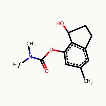 Cc1cc2c(c(OC(=O)N(C)C)c1)C(O)CC2